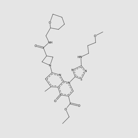 CCOC(=O)c1cn(-c2nc(NCCCOC)ns2)c2nc(N3CC(C(=O)NCC4CCCCO4)C3)cc(C)c2c1=O